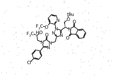 CC(C)(C)OC[C@H](c1nc(Cn2nc(-c3ccc(Cl)cc3)n(C[C@H](O)C(F)(F)F)c2=O)nn1-c1ncccc1OC(F)(F)F)N1C(=O)c2ccccc2C1=O